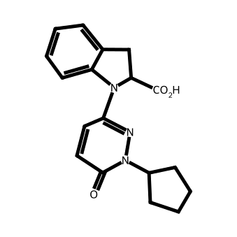 O=C(O)C1Cc2ccccc2N1c1ccc(=O)n(C2CCCC2)n1